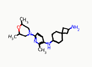 Cc1nc(N2CC(C)OC(C)C2)ccc1NC1CCC2(CC1)CC(N)C2